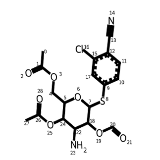 CC(=O)OCC1OC(Sc2ccc(C#N)c(Cl)c2)C(OC=O)C(N)C1OC(C)=O